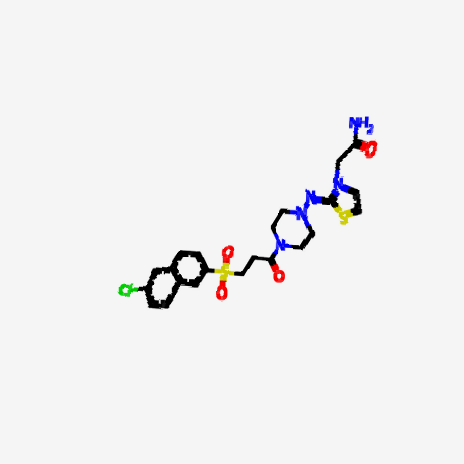 NC(=O)Cn1ccs/c1=N\N1CCN(C(=O)CCS(=O)(=O)c2ccc3cc(Cl)ccc3c2)CC1